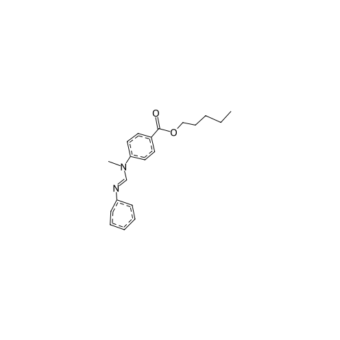 CCCCCOC(=O)c1ccc(N(C)C=Nc2ccccc2)cc1